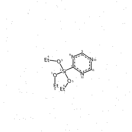 CCO[Si](OCC)(OCC)c1ncncn1